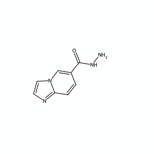 NNC(=O)c1ccc2nccn2c1